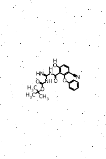 CC(C)(C)OC(=O)NC(=N)NC(=O)c1c(O)ccc(C#N)c1Oc1ccccc1